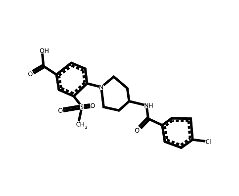 CS(=O)(=O)c1cc(C(=O)O)ccc1N1CCC(NC(=O)c2ccc(Cl)cc2)CC1